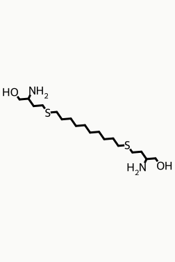 NC(CO)CCSCCCCCCCCCCSCCC(N)CO